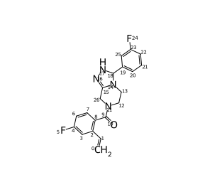 C=Cc1cc(F)ccc1C(=O)N1CCN2C(=NNC2c2cccc(F)c2)C1